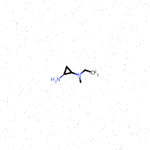 CN(CC(F)(F)F)C1C[C@@H]1N